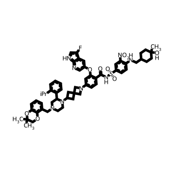 CC(C)c1ccccc1C1CN(Cc2cccc3c2OCC(C)(C)O3)CCN1C1CC2(C1)CN(c1ccc(C(=O)NS(=O)(=O)c3ccc(NCC4CCC(C)(O)CC4)c([N+](=O)[O-])c3)c(Oc3cnc4[nH]cc(F)c4c3)c1)C2